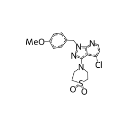 COc1ccc(Cn2nc(N3CCS(=O)(=O)CC3)c3c(Cl)ccnc32)cc1